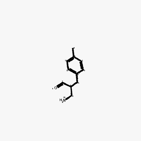 Cc1ccc(CC(C=O)CN)cc1